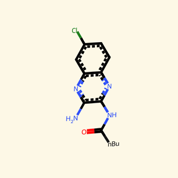 CCCCC(=O)Nc1nc2ccc(Cl)cc2nc1N